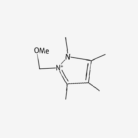 COC[n+]1c(C)c(C)c(C)n1C